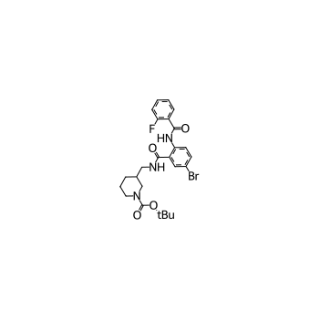 CC(C)(C)OC(=O)N1CCCC(CNC(=O)c2cc(Br)ccc2NC(=O)c2ccccc2F)C1